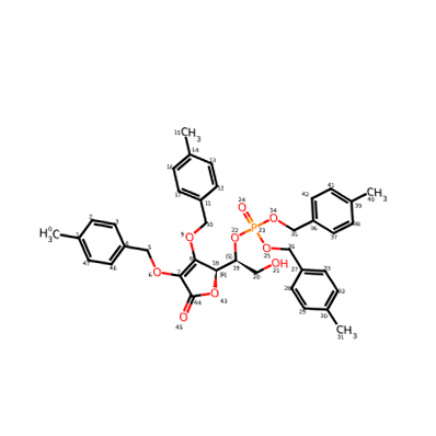 Cc1ccc(COC2=C(OCc3ccc(C)cc3)[C@@H]([C@H](CO)OP(=O)(OCc3ccc(C)cc3)OCc3ccc(C)cc3)OC2=O)cc1